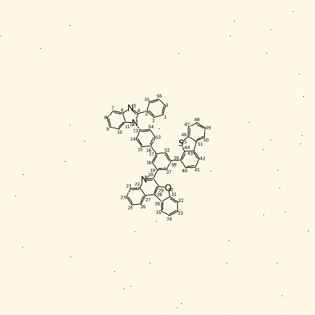 c1ccc(-c2nc3ccccc3n2-c2ccc(-c3cc(-c4nc5ccccc5c5c4oc4ccccc45)cc(-c4cccc5c4sc4ccccc45)c3)cc2)cc1